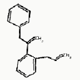 C=CCc1ccccc1C(=C)Cc1ccccc1